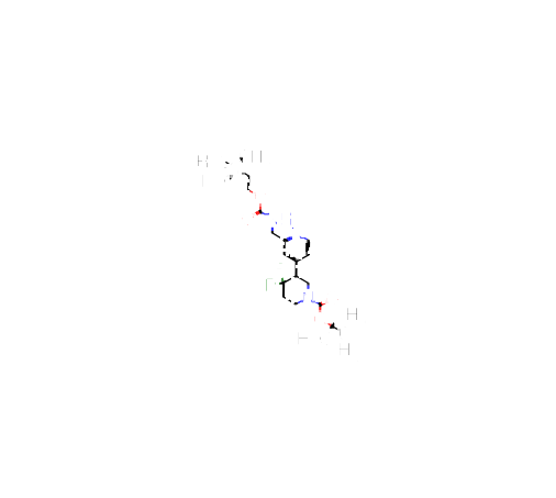 CC(C)(C)OC(=O)N1CCC(F)(F)C(c2ccnc(CNC(=O)OCC[Si](C)(C)C)c2)C1